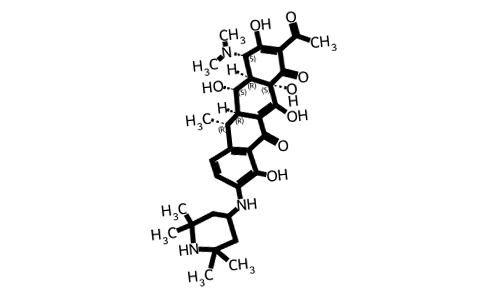 CC(=O)C1=C(O)[C@@H](N(C)C)[C@@H]2[C@@H](O)[C@H]3C(=C(O)[C@]2(O)C1=O)C(=O)c1c(ccc(NC2CC(C)(C)NC(C)(C)C2)c1O)[C@@H]3C